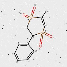 CC1=CS(=O)(=O)C(c2ccccc2)CS1(=O)=O